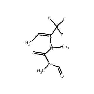 C/C=C(\N(C)C(=O)N(C)C=O)C(F)(F)F